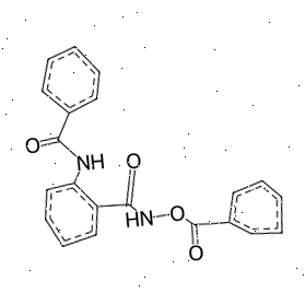 O=C(Nc1ccccc1C(=O)NOC(=O)c1ccccc1)c1ccccc1